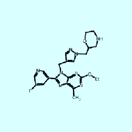 CCOc1nc(C)c2nc(-c3cncc(F)c3)n(Cc3cnn(CC4CNCCO4)c3)c2n1